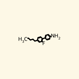 CCCCCc1ccc(-c2ccc(N)cc2)c(F)c1